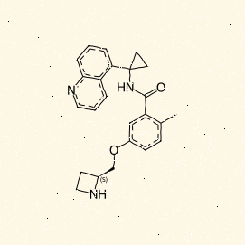 Cc1ccc(OC[C@@H]2CCN2)cc1C(=O)NC1(c2cccc3ncccc23)CC1